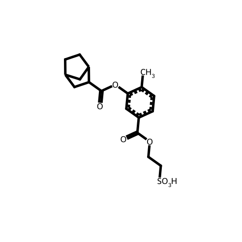 Cc1ccc(C(=O)OCCS(=O)(=O)O)cc1OC(=O)C1CC2CCC1C2